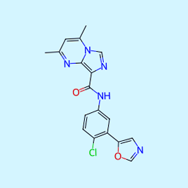 Cc1cc(C)n2cnc(C(=O)Nc3ccc(Cl)c(-c4cnco4)c3)c2n1